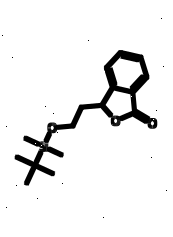 CC(C)(C)[Si](C)(C)OCCC1OC(=O)c2ccccc21